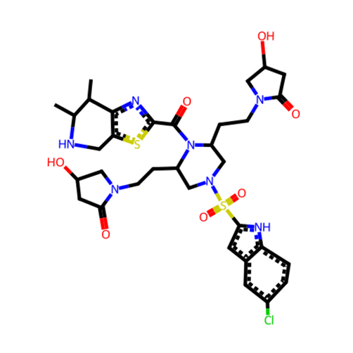 CC1NCc2sc(C(=O)N3C(CCN4CC(O)CC4=O)CN(S(=O)(=O)c4cc5cc(Cl)ccc5[nH]4)CC3CCN3CC(O)CC3=O)nc2C1C